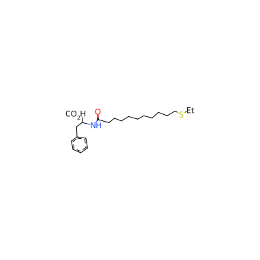 CCSCCCCCCCCCCC(=O)NC(Cc1ccccc1)C(=O)O